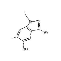 Cc1cc2c(cc1O)c(C(C)C)cn2C